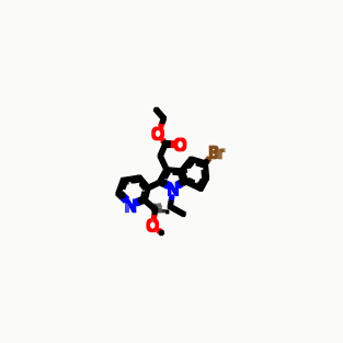 CCOC(=O)Cc1c(-c2cccnc2[C@H](C)OC)n(CC)c2ccc(Br)cc12